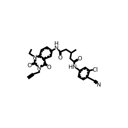 C#CCn1c(=O)c2cc(NC(=O)CC(C)CC(=O)Nc3ccc(C#N)c(Cl)c3)ccc2n(CC)c1=O